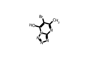 Cc1nc2nnnn2c(O)c1Br